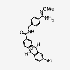 CON=C(N)c1ccc(CNC(=O)c2ccc3c(c2)[C@@H]2O[C@H]3c3ccc(C(C)C)cc32)cc1